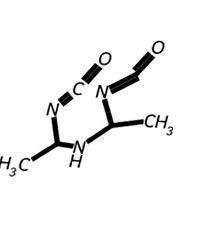 CC(N=C=O)NC(C)N=C=O